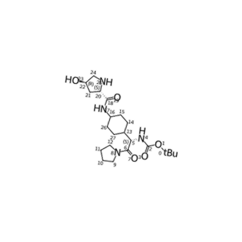 CC(C)(C)OC(=O)N[C@H](C(=O)N1CCCC1)C1CCC(NC(=O)[C@@H]2C[C@@H](O)CN2)CC1